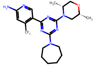 C[C@@H]1CN(c2nc(-c3cnc(N)cc3C(F)(F)F)nc(N3CCCCCC3)n2)[C@H](C)CO1